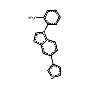 O=C(O)c1ccccc1-n1cnc2cc(-c3ccoc3)ccc21